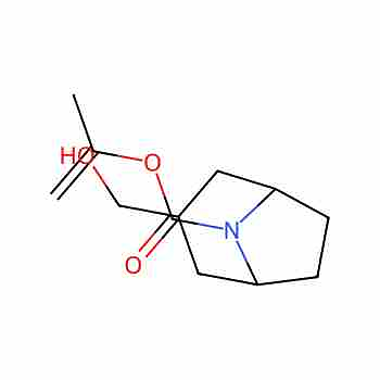 C=C(C)OC(=O)N1C2CCC1CC(CO)C2